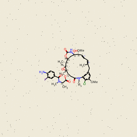 COc1cc2cc(c1Cl)N(C)C(=O)C[C@H](OC(=O)[C@H](C)N(C)C(=O)c1ccc(N)c(I)c1)[C@]1(C)O[C@H]1[C@H](C)[C@@H]1C[C@@](O)(NC(=O)O1)[C@H](OC)/C=C/C=C(\C)C2